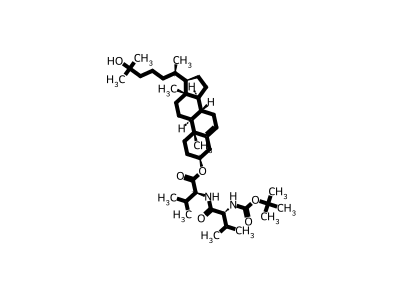 CC(C)[C@H](NC(=O)[C@H](NC(=O)OC(C)(C)C)C(C)C)C(=O)O[C@H]1CC[C@@]2(C)C(=CC[C@H]3[C@@H]4CC[C@H]([C@H](C)CCCC(C)(C)O)[C@@]4(C)CC[C@@H]32)C1